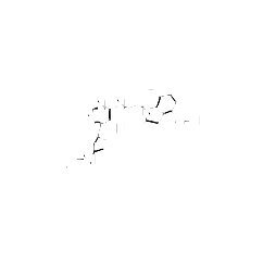 CCNc1csc(-c2cc(NCCn3c(C)cc4c(OC)ccc(F)c43)ncn2)c1